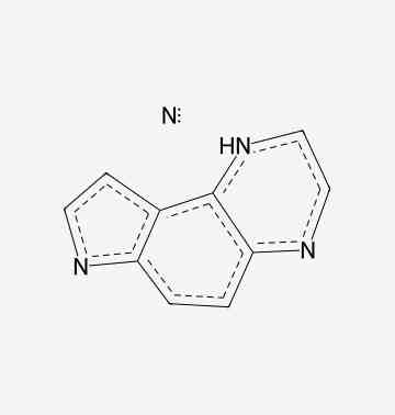 [N].c1cc2c(ccc3ncc[nH]c32)n1